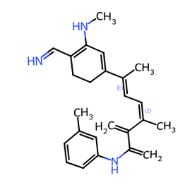 C=C(Nc1cccc(C)c1)C(=C)/C(C)=C\C=C(/C)C1=CC(NC)=C(C=N)CC1